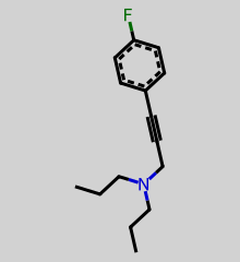 CCCN(CC#Cc1ccc(F)cc1)CCC